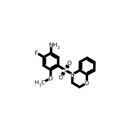 COc1cc(F)c(N)cc1S(=O)(=O)N1CCOc2ccccc21